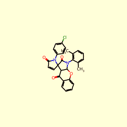 Cc1cccc(C)c1N1C(=O)C2(C=CC(=O)N2c2ccc(Cl)cc2)C2C(=O)c3ccccc3OC21